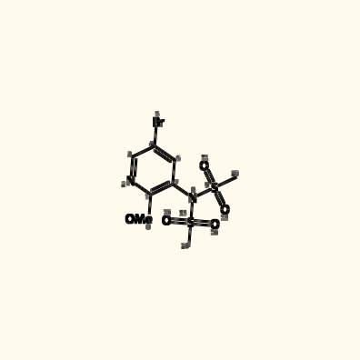 COc1ncc(Br)cc1N(S(C)(=O)=O)S(C)(=O)=O